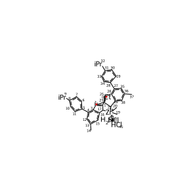 CCC1=Cc2c(-c3ccc(C(C)C)cc3)cc(C)cc2[CH]1[Zr]([CH3])([CH3])(=[SiH2])[CH]1C(C)=Cc2c(-c3ccc(C(C)C)cc3)cc(C)cc21.Cl.Cl